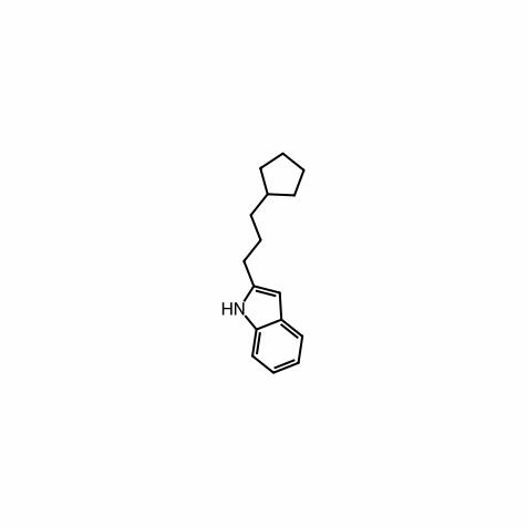 c1ccc2[nH]c(CCCC3CCCC3)cc2c1